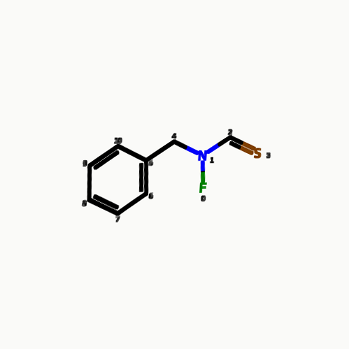 FN(C=S)Cc1ccccc1